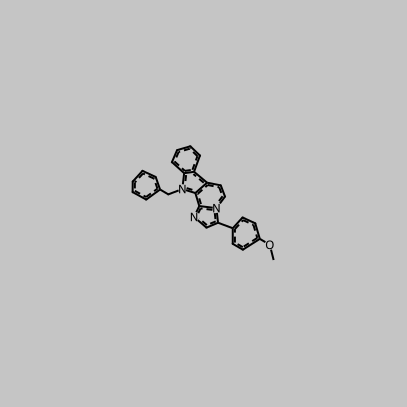 COc1ccc(-c2cnc3c4c(ccn23)c2ccccc2n4Cc2ccccc2)cc1